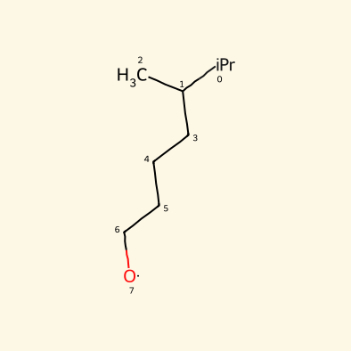 CC(C)C(C)CCCC[O]